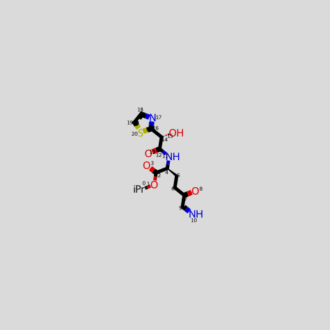 CC(C)OC(=O)[C@H](CCC(=O)C=N)NC(=O)[C@@H](O)c1nccs1